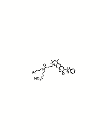 CC(=O)CCCN(CCCS(=O)(=O)O)C(=O)CCCN1c2cc3oc(=O)c(-c4nc5ccccc5o4)cc3cc2C(C)=CC1(C)C